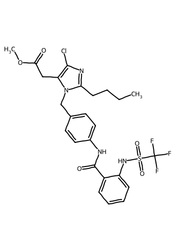 CCCCc1nc(Cl)c(CC(=O)OC)n1Cc1ccc(NC(=O)c2ccccc2NS(=O)(=O)C(F)(F)F)cc1